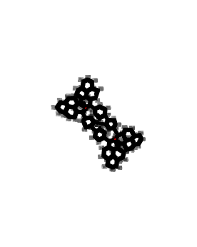 c1cc2ccc3ccc(-c4ccc5c(c4)[Si]4(c6cc(-c7ccc8ccc9cccc%10ccc7c8c9%10)ccc6-5)c5cc(-c6ccc7ccc8cccc9ccc6c7c89)ccc5-c5ccc(-c6ccc7ccc8cccc9ccc6c7c89)cc54)c4ccc(c1)c2c34